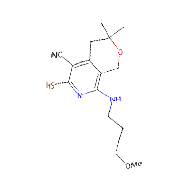 COCCCNc1nc(S)c(C#N)c2c1COC(C)(C)C2